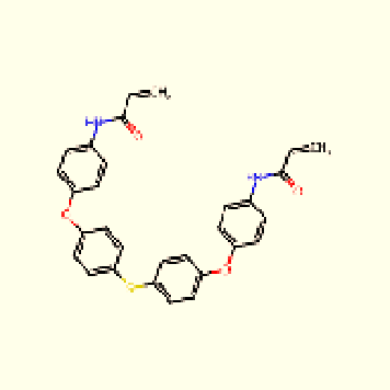 C=CC(=O)Nc1ccc(Oc2ccc(Sc3ccc(Oc4ccc(NC(=O)C=C)cc4)cc3)cc2)cc1